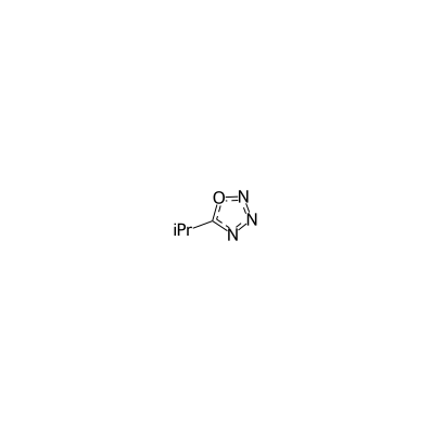 CC(C)c1nnno1